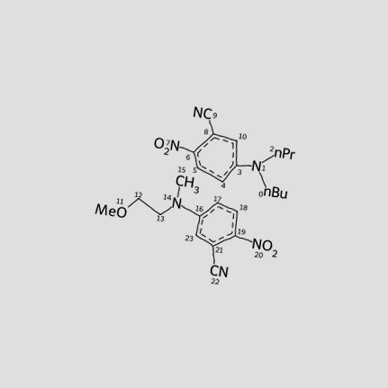 CCCCN(CCC)c1ccc([N+](=O)[O-])c(C#N)c1.COCCN(C)c1ccc([N+](=O)[O-])c(C#N)c1